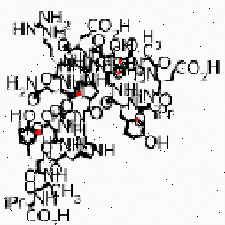 CC(C)[C@H](NC(=O)[C@H](C)NC(=O)[C@H](Cc1ccc(O)cc1)NC(=O)[C@H](Cc1c[nH]cn1)NC(=O)[C@@H](NC(=O)[C@H](CCCNC(=N)N)NC(=O)[C@@H]1CCCN1C(=O)[C@H](CCC(N)=O)NC(=O)[C@H](CCCNC(=N)N)NC(=O)[C@H](CCC(=O)O)NC(=O)[C@@H](NC(=O)CNC(=O)[C@H](Cc1ccc(O)cc1)NC(=O)[C@@H](NC(=O)[C@H](CCC(=O)O)NC(=O)[C@H](C)NC(=O)[C@H](C)N)C(C)C)[C@@H](C)O)[C@@H](C)O)C(=O)O